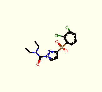 CCN(CC)C(=O)n1ccc(S(=O)(=O)c2cccc(Cl)c2Cl)n1